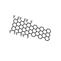 FC1CC2CC3CC(F)C(F)C4C3C3C2C(C1F)C1C(F)C(F)C2C5C(F)C(F)C6C7CCC8C9CCC%10C%11CCCC%12CC%13CCCC%14C%15CCC%16C%17CCC%18C%19C(F)C(F)C%20C%21C(F)C(F)C4C4C%21C(C2C1C34)C1C5C6C(C2C7C8C(C%17C%182)C2C9C%10C(C%15C%162)C(C%12%11)C%13%14)C%19C%201